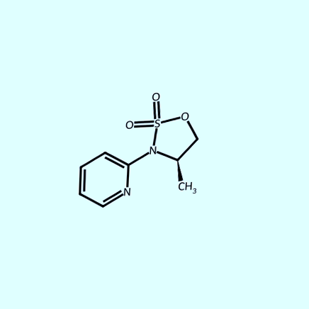 C[C@@H]1COS(=O)(=O)N1c1ccccn1